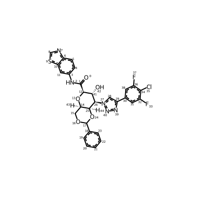 O=C(Nc1ccc2ncsc2c1)[C@@H]1O[C@@H]2COC(c3ccccc3)O[C@@H]2[C@H](n2cc(-c3cc(F)c(Cl)c(F)c3)nn2)[C@H]1O